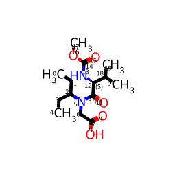 CCC(CC)N(CC(=O)O)C(=O)[C@@H](NC(=O)OC)C(C)C